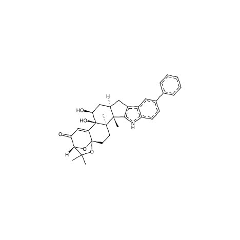 CC1(C)O[C@@]23CC[C@]4(C)[C@@]5(C)c6[nH]c7ccc(-c8ccccc8)cc7c6C[C@@H]5C[C@H](O)[C@@]4(O)C2=CC(=O)[C@@H]1O3